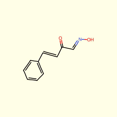 O=C(/C=C/c1ccccc1)/C=N/O